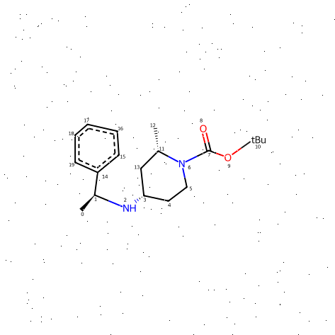 C[C@H](N[C@H]1CCN(C(=O)OC(C)(C)C)[C@@H](C)C1)c1ccccc1